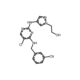 N#Cc1cccc(CNc2nc(Nc3cnn(CCO)c3)ncc2Cl)c1